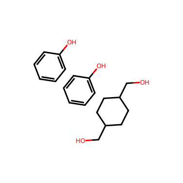 OCC1CCC(CO)CC1.Oc1ccccc1.Oc1ccccc1